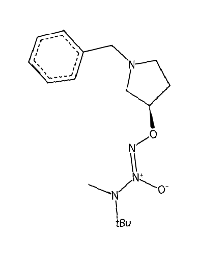 CN(/[N+]([O-])=N/O[C@@H]1CCN(Cc2ccccc2)C1)C(C)(C)C